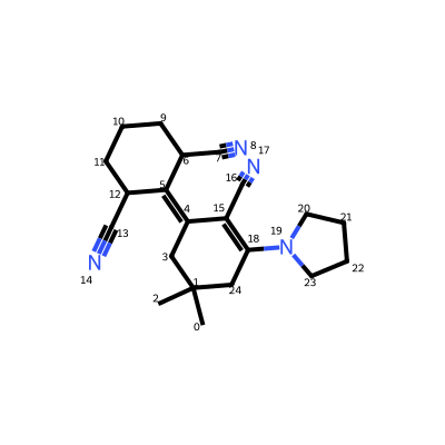 CC1(C)CC(=C2C(C#N)CCCC2C#N)C(C#N)=C(N2CCCC2)C1